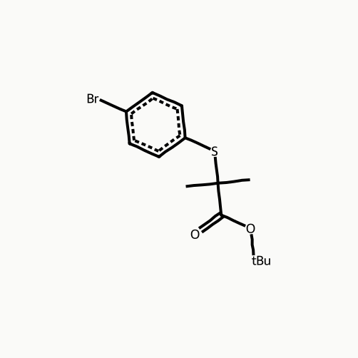 CC(C)(C)OC(=O)C(C)(C)Sc1ccc(Br)cc1